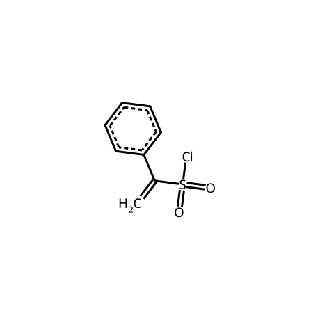 C=C(c1ccccc1)S(=O)(=O)Cl